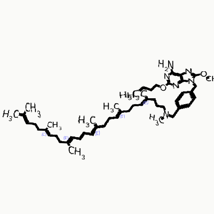 CCCCOc1nc(N)c2nc(OC)n(Cc3ccc(CN(C)CCC/C(C)=C/CC/C(C)=C/CC/C(C)=C/CC/C=C(\C)CC/C=C(\C)CCC=C(C)C)cc3)c2n1